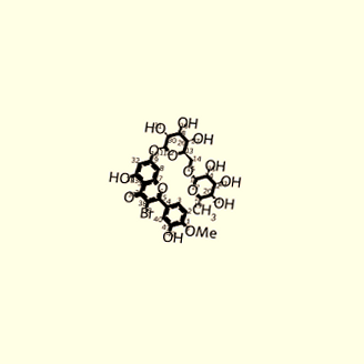 COc1ccc(-c2oc3cc(O[C@@H]4O[C@H](CO[C@@H]5O[C@@H](C)[C@H](O)[C@@H](O)[C@H]5O)[C@@H](O)[C@H](O)[C@H]4O)cc(O)c3c(=O)c2Br)cc1O